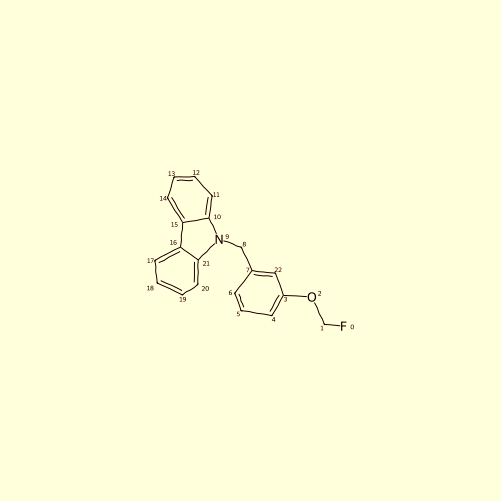 FCOc1cccc(Cn2c3ccccc3c3ccccc32)c1